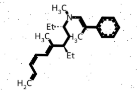 C=C/C=C\C=C(/C)[C@H](CC)C[C@H](CC)N(C)/C=C(\C)c1ccccc1